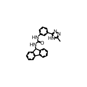 Cc1nnc(-c2cccc(NC(=O)NC3c4ccccc4-c4ccccc43)c2)[nH]1